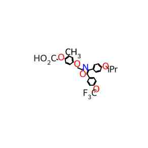 Cc1cc(OCc2nc(-c3ccc(OC(C)C)cc3)c(-c3ccc(OC(F)(F)F)cc3)o2)ccc1OCC(=O)O